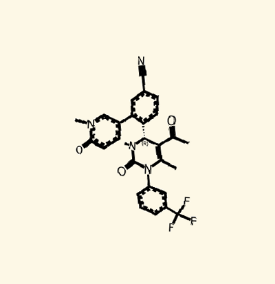 CC(=O)C1=C(C)N(c2cccc(C(F)(F)F)c2)C(=O)N(C)[C@@H]1c1ccc(C#N)cc1-c1ccc(=O)n(C)c1